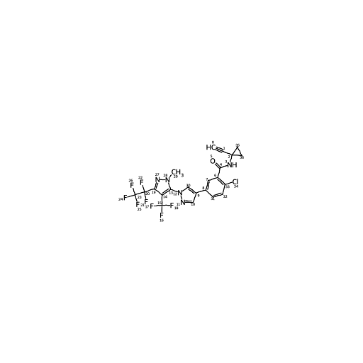 C#CC1(NC(=O)c2cc(-c3cnn(-c4c(C(F)(F)F)c(C(F)(F)C(F)(F)F)nn4C)c3)ccc2Cl)CC1